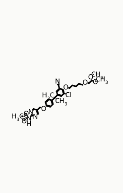 COC(COCCCCCOc1c(Cl)cc(C(C)(C)c2ccc(OCc3cnc(NS(C)(=O)=O)nc3)cc2)cc1C#N)OC